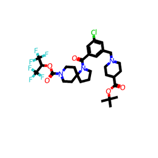 CC(C)(C)OC(=O)C1CCN(Cc2cc(Cl)cc(C(=O)N3CCCC34CCN(C(=O)OC(C(F)(F)F)C(F)(F)F)CC4)c2)CC1